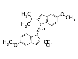 COc1ccc2c(c1)C=C[CH]2[Zr+2][CH]1C(C(C)C)=Cc2cc(OC)ccc21.[Cl-].[Cl-]